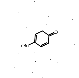 [CH2]CCCC1=CCC(=O)C=C1